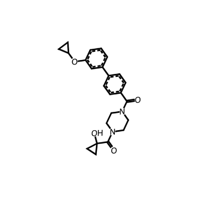 O=C(c1ccc(-c2cccc(OC3CC3)c2)cc1)N1CCN(C(=O)C2(O)CC2)CC1